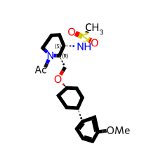 COc1cccc([C@H]2CC[C@@H](OC[C@H]3[C@@H](NS(C)(=O)=O)CCCN3C(C)=O)CC2)c1